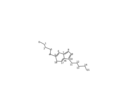 CCCCCC1=CC2=CC=C(CCCCC)C2=CC1